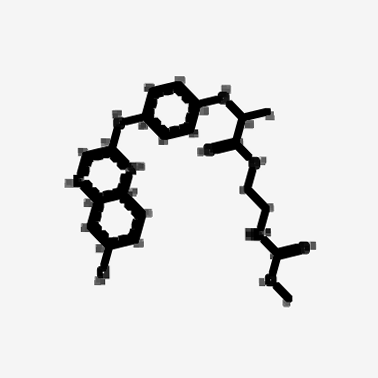 COC(=O)NCCOC(=O)C(C)Oc1ccc(Oc2cnc3cc(Cl)ccc3n2)cc1